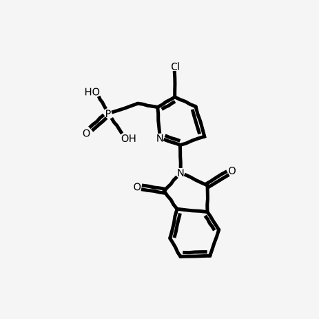 O=C1c2ccccc2C(=O)N1c1ccc(Cl)c(CP(=O)(O)O)n1